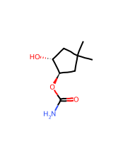 CC1(C)C[C@@H](O)[C@H](OC(N)=O)C1